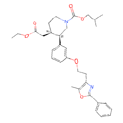 CCOC(=O)C[C@H]1CCN(C(=O)OCC(C)C)C[C@H]1c1cccc(OCCc2nc(-c3ccccc3)oc2C)c1